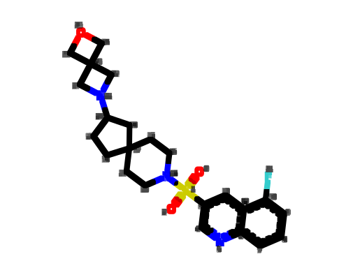 O=S(=O)(c1cnc2cccc(F)c2c1)N1CCC2(CCC(N3CC4(COC4)C3)C2)CC1